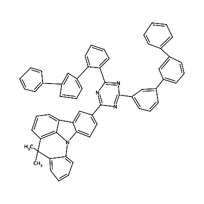 CC1(C)c2ccccc2-n2c3ccc(-c4nc(-c5cccc(-c6cccc(-c7ccccc7)c6)c5)nc(-c5ccccc5-c5cccc(-c6ccccc6)c5)n4)cc3c3cccc1c32